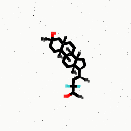 CC(O)C(F)(F)C[C@@H](C)[C@H]1CC[C@H]2[C@@H]3CC[C@H]4C[C@@](C)(O)CC[C@]4(C)[C@H]3CC[C@]12C